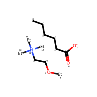 CCCCCC(=O)[O-].CCOCC[N+](CC)(CC)CC